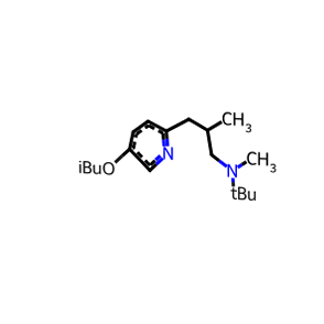 CC(C)COc1ccc(CC(C)CN(C)C(C)(C)C)nc1